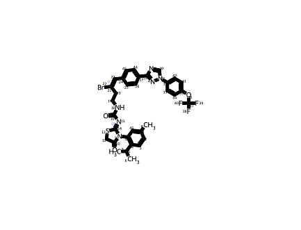 Cc1ccc(C(C)C)c(N2C(=O)CS/C2=N\C(=O)NCC/C(Br)=C\c2ccc(-c3ncn(-c4ccc(OC(F)(F)F)cc4)n3)cc2)c1